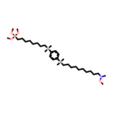 CON(C)CCCCCCCCCC[Si](C)(C)c1ccc([Si](C)(C)CCCCCCCC[Si](OC)(OC)OC)cc1